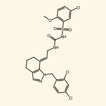 COc1ccc(Cl)cc1S(=O)(=O)NC(=O)NCC=C1CCCc2cnn(Cc3ccc(Cl)cc3Cl)c21